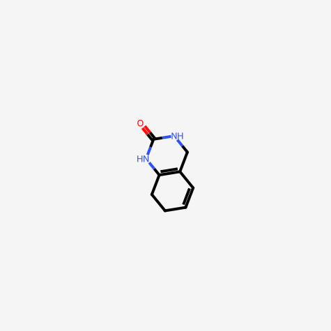 O=C1NCC2=C(CCC=C2)N1